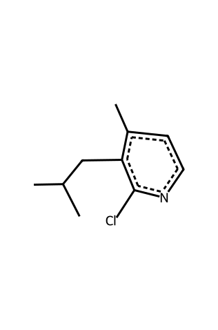 Cc1ccnc(Cl)c1CC(C)C